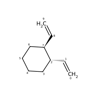 C=C[C@@H]1CCCC[C@H]1C=C